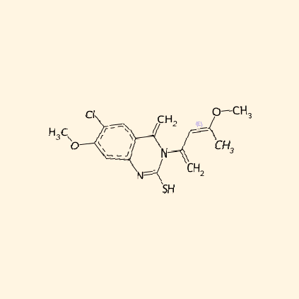 C=C(/C=C(\C)OC)N1C(=C)c2cc(Cl)c(OC)cc2N=C1S